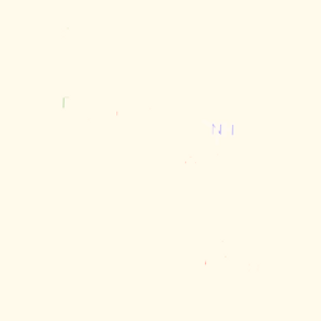 Cc1cc(NC(=O)Cc2ccc(S(C)(=O)=O)cc2)ccc1-c1ccc(Cl)cc1OC(F)F